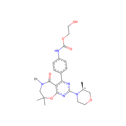 CCN1CC(C)(C)Oc2nc(N3CCOC[C@@H]3C)nc(-c3ccc(NC(=O)OCCO)cc3)c2C1=O